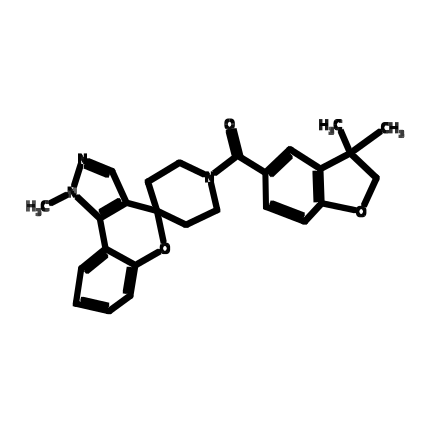 Cn1ncc2c1-c1ccccc1OC21CCN(C(=O)c2ccc3c(c2)C(C)(C)CO3)CC1